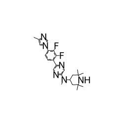 Cc1cn(-c2ccc(-c3cnc(N(C)C4CC(C)(C)NC(C)(C)C4)cn3)c(F)c2F)cn1